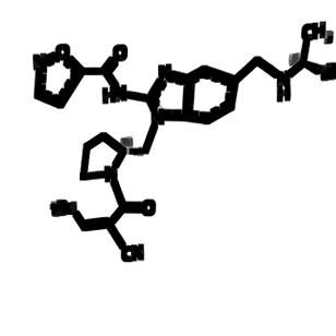 C[C@H](NCc1ccc2c(c1)nc(NC(=O)c1ccno1)n2C[C@H]1CCCN1C(=O)C(C#N)=CC(C)(C)C)C(C)(C)C